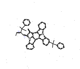 C=c1/c(=C\C(=C/C)C(C)(C)c2ccccc2)n2c3ccccc3c3c4c5ccc(C(C)(C)c6ccccc6)cc5n5c6ccccc6c(c1c32)c45